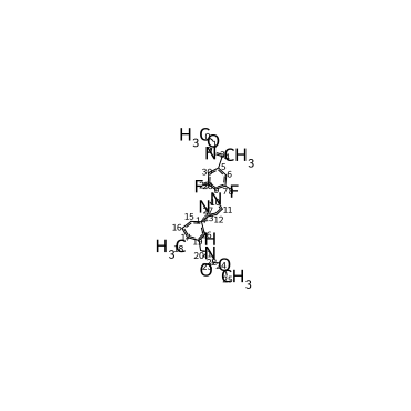 CON=C(C)c1cc(F)c(-n2ccc(-c3ccc(C)c(CNC(=O)OC)c3)n2)c(F)c1